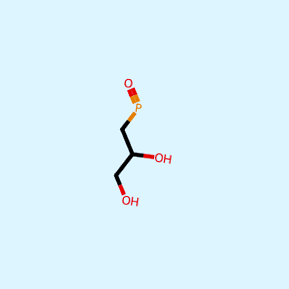 O=PCC(O)CO